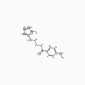 COc1ccc(C(=O)CCCSc2nnnn2C)cc1